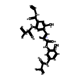 C#COC(=O)c1cc(O)c(/C=C(\C)C(=O)Oc2cc(OC(=O)C(=C)C)ccc2O)cc1OC(=O)C(=C)C